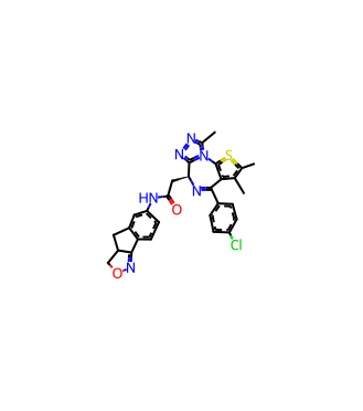 Cc1sc2c(c1C)C(c1ccc(Cl)cc1)=N[C@@H](CC(=O)Nc1ccc3c(c1)CC1CON=C31)c1nnc(C)n1-2